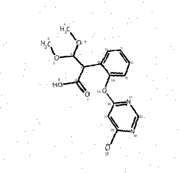 COC(OC)C(C(=O)O)c1ccccc1Oc1cc(Cl)ncn1